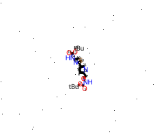 CC(C)(C)OC(=O)NOCc1ccc(-c2nc(NC(=O)OC(C)(C)C)cs2)cn1